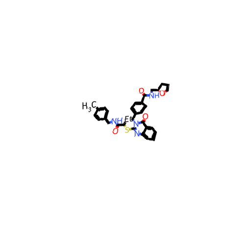 CCC(Sc1nc2ccccc2c(=O)n1Cc1ccc(C(=O)NCC2CCCO2)cc1)C(=O)NCc1ccc(C)cc1